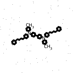 Cc1ccc(N(c2ccc(C=CC=Cc3ccccc3)cc2)c2ccc(-c3ccc(N(c4ccc(C)cc4)c4ccc(C=CC=Cc5ccccc5)cc4)cc3)cc2)cc1